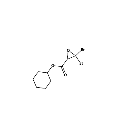 CCC1(CC)OC1C(=O)OC1CCCCC1